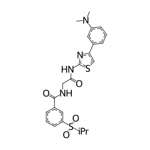 CC(C)S(=O)(=O)c1cccc(C(=O)NCC(=O)Nc2nc(-c3cccc(N(C)C)c3)cs2)c1